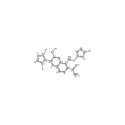 COc1cc2c(NCc3ccc(C)o3)c(C(N)=O)cnc2cc1-c1c(C)noc1C